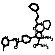 Cc1ccnc(NC(=O)c2ccc(-c3nc(C4CCCCN4C(=O)/C=C/c4ccccc4)n(N)c3C(N)=O)cc2)c1